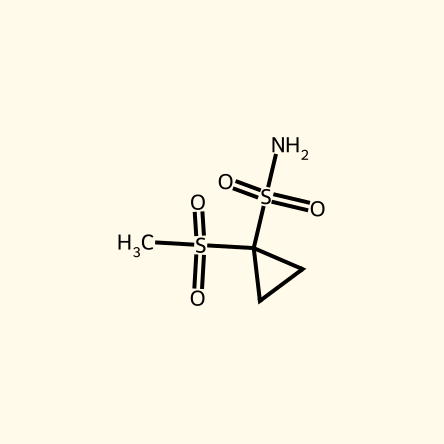 CS(=O)(=O)C1(S(N)(=O)=O)CC1